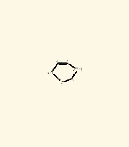 C1=CPCOO1